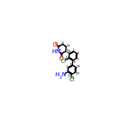 Nc1cc(-c2cccc([C@@H]3CCC(=O)NC3=O)c2Cl)ccc1Cl